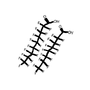 O=C(O)C(F)(F)C(F)(F)C(F)(F)C(F)(F)C(F)(F)C(F)(F)C(F)(F)C(F)(F)F.O=C(O)C(F)(F)C(F)(F)C(F)(F)C(F)(F)C(F)(F)C(F)(F)C(F)(F)F